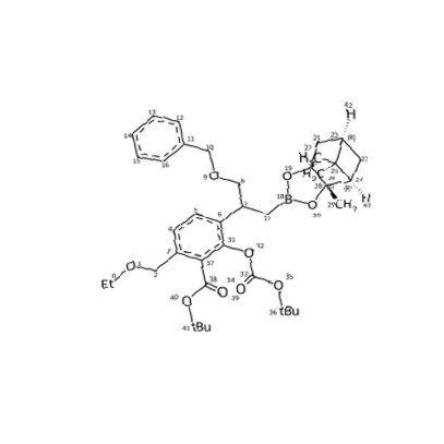 CCOCc1ccc(C(COCc2ccccc2)CB2OC3C[C@H]4C[C@H](C4(C)C)[C@]3(C)O2)c(OC(=O)OC(C)(C)C)c1C(=O)OC(C)(C)C